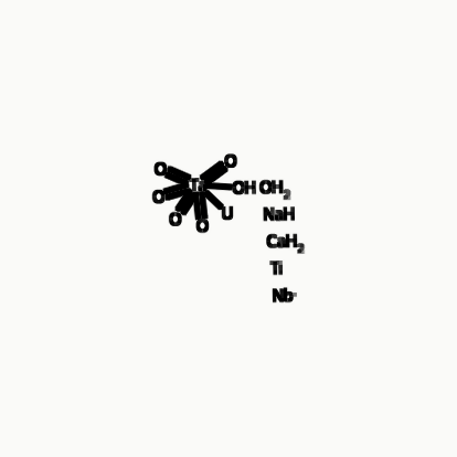 O.[CaH2].[NaH].[Nb].[O]=[Ta](=[O])(=[O])(=[O])(=[O])([OH])[U].[Ti]